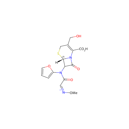 CO/N=C\C(=O)N(c1ccco1)C1C(=O)N2C(C(=O)O)=C(CO)CS[C@@H]12